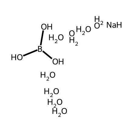 O.O.O.O.O.O.O.O.OB(O)O.[NaH]